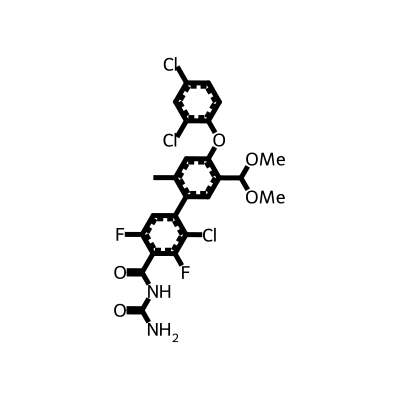 COC(OC)c1cc(-c2cc(F)c(C(=O)NC(N)=O)c(F)c2Cl)c(C)cc1Oc1ccc(Cl)cc1Cl